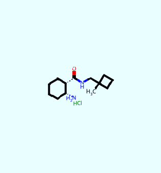 CC1(CNC(=O)[C@H]2CCCC[C@H]2N)CCC1.Cl